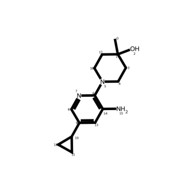 CC1(O)CCN(c2ncc(C3CC3)cc2N)CC1